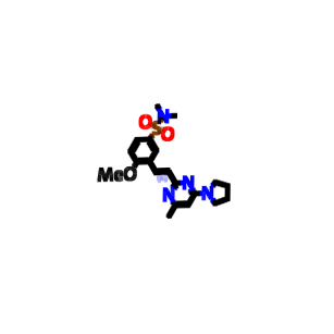 COc1ccc(S(=O)(=O)N(C)C)cc1/C=C/c1nc(C)cc(N2CCCC2)n1